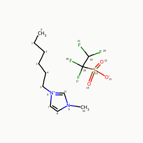 CCCCCC[n+]1ccn(C)c1.O=S(=O)([O-])C(F)(F)C(F)F